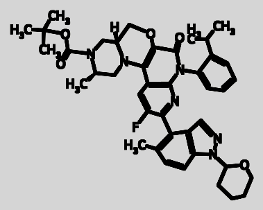 Cc1ccc2c(cnn2C2CCCCO2)c1-c1nc2c(cc1F)c1c(c(=O)n2-c2ccccc2C(C)C)OC[C@H]2CN(C(=O)OC(C)(C)C)[C@H](C)CN12